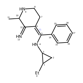 CCC1CC1N/C(=C1/CCNC(C)C1=N)c1ccccc1